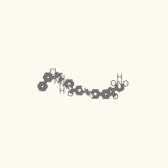 O=C1CCC(C2Cc3cc(C4CCN(CCN5CCC(C(=O)N6CCC[C@H](Nc7ncc(Cl)c(-c8cccc(-c9ccccc9)c8)n7)C6)CC5)CC4)ccc3C2=O)C(=O)N1